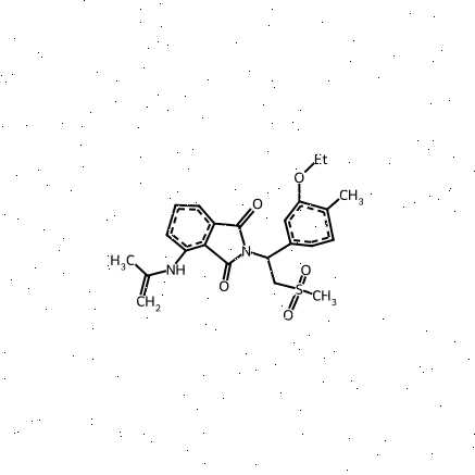 C=C(C)Nc1cccc2c1C(=O)N(C(CS(C)(=O)=O)c1ccc(C)c(OCC)c1)C2=O